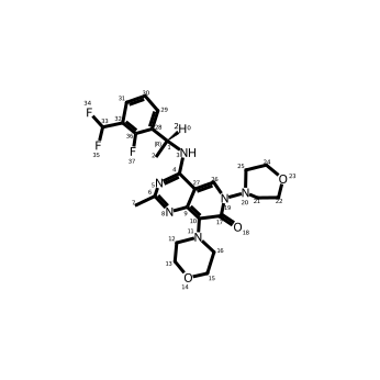 [2H][C@](C)(Nc1nc(C)nc2c(N3CCOCC3)c(=O)n(N3CCOCC3)cc12)c1cccc(C(F)F)c1F